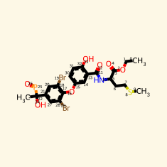 CCOC(=O)C(CCSC)NC(=O)c1cc(Oc2c(Br)cc(C(C)(O)P=O)cc2Br)ccc1O